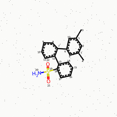 Cc1cc(C)cc(-c2ccccc2-c2ccccc2S(N)(=O)=O)c1